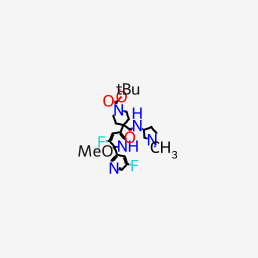 COC1(c2cncc(F)c2)NC=C(C2(C(=O)N[C@H]3CCN(C)C3)CCN(C(=O)OC(C)(C)C)CC2)C=C1F